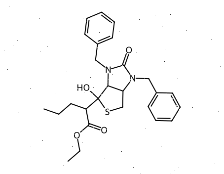 CCCC(C(=O)OCC)C1(O)SCC2C1N(Cc1ccccc1)C(=O)N2Cc1ccccc1